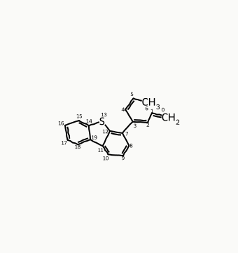 C=C/C=C(\C=C/C)c1cccc2c1sc1ccccc12